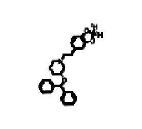 [2H]C1([2H])Oc2ccc(CCN3CCC[C@@H](OC(c4ccccc4)c4ccccc4)C3)cc2O1